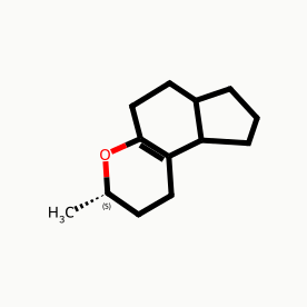 C[C@H]1CCC2=C(CCC3CCCC23)O1